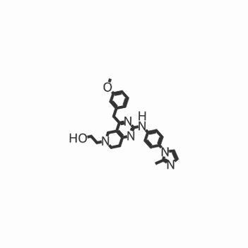 COc1cccc(Cc2nc(Nc3ccc(-n4ccnc4C)cc3)nc3c2CN(CCO)CC3)c1